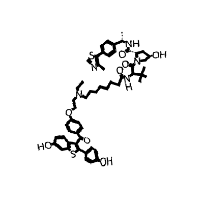 CCN(CCCCCCCC(=O)NC(C(=O)N1C[C@H](O)C[C@H]1C(=O)N[C@@H](C)c1ccc(-c2scnc2C)cc1)C(C)(C)C)CCOc1ccc(C(=O)c2c(-c3ccc(O)cc3)sc3cc(O)ccc23)cc1